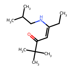 CCC(=CC(=O)C(C)(C)C)NCC(C)C